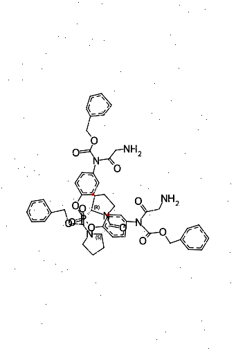 NCC(=O)N(C(=O)OCc1ccccc1)c1ccc(OP(=O)(Oc2ccc(N(C(=O)CN)C(=O)OCc3ccccc3)cc2)[C@@H]2CCCN2C(=O)[C@@H]2CCCN2C(=O)OCc2ccccc2)cc1